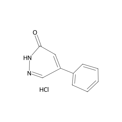 Cl.O=c1cc(-c2ccccc2)cn[nH]1